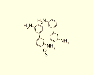 Nc1cccc(-c2cccc(N)c2)c1.Nc1cccc(-c2cccc(N)c2)c1.O=S